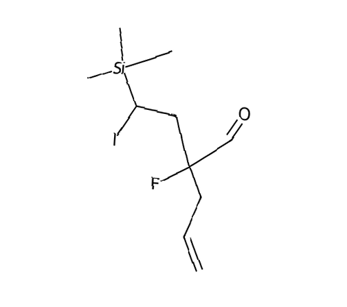 C=CCC(F)(C=O)CC(I)[Si](C)(C)C